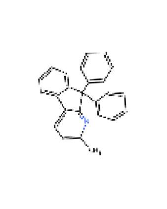 Cc1ccc2c(n1)C(c1ccccc1)(c1ccccc1)c1ccccc1-2